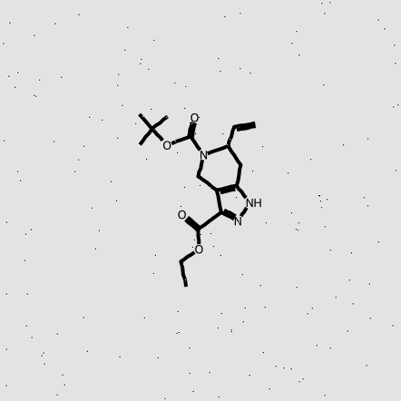 C=CC1Cc2[nH]nc(C(=O)OCC)c2CN1C(=O)OC(C)(C)C